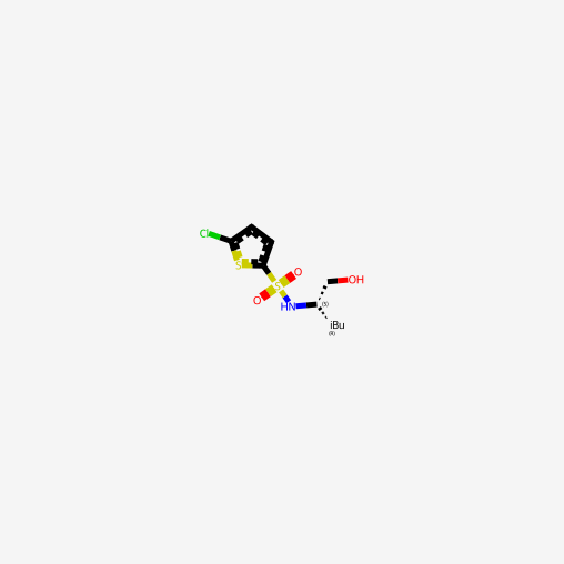 CC[C@@H](C)[C@@H](CO)NS(=O)(=O)c1ccc(Cl)s1